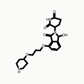 O=C1CCC(N2C(=O)c3c(OCCCOC4CCNCC4)cccc3C2O)C(=O)N1